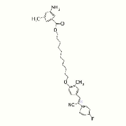 Cc1cc(N)cc(C(=O)OCCCCCCCCCCCOc2ccc(/C=C(\C#N)c3ccc(F)cc3)cc2C)c1